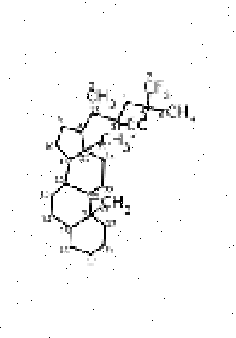 C[C@H](CCC(C)(C)C(F)(F)F)C1CCC2C3CCC4CCCCC4(C)C3CCC21C